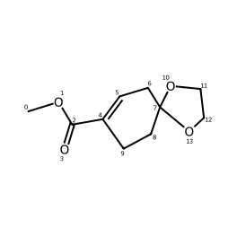 COC(=O)C1=CCC2(CC1)OCCO2